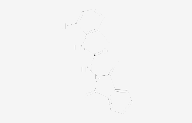 O=C(Nc1c(Cl)cccc1Cl)NN1C(=O)c2ccccc2C1=O